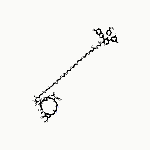 COc1cc2cc(c1Cl)N(C)C(=O)C[C@H](OC(=O)[C@@H](C)N(C)C(=O)CCSSCCOCCOCCOCCOCCOCCOCCOCCOCCC(=O)NCCNc1ncc(-c3cc(C)cc(F)c3)c(N3CCC(N)CC3)c1-c1nc3ccc(Cl)cc3[nH]1)C1(C)CC(C)(O1)C1C[C@](CO)(C/C=C/C=C(\C)C2)NC(=O)O1